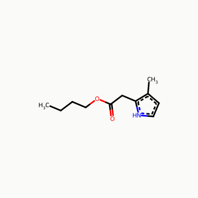 CCCCOC(=O)Cc1[nH]ccc1C